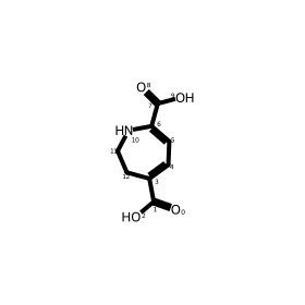 O=C(O)C1=CC=C(C(=O)O)NCC1